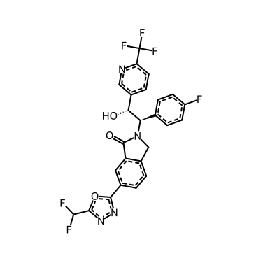 O=C1c2cc(-c3nnc(C(F)F)o3)ccc2CN1[C@H](c1ccc(F)cc1)[C@H](O)c1ccc(C(F)(F)F)nc1